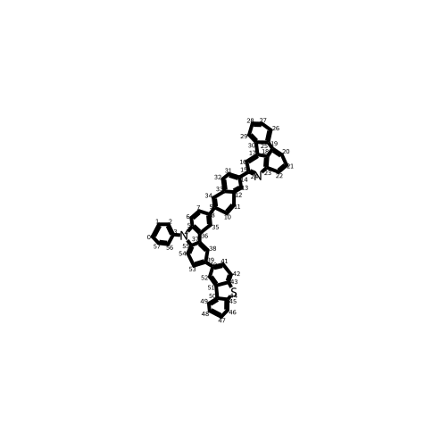 c1ccc(-n2c3ccc(-c4ccc5cc(-c6cc7c8c(cccc8n6)-c6ccccc6-7)ccc5c4)cc3c3cc(-c4ccc5sc6ccccc6c5c4)ccc32)cc1